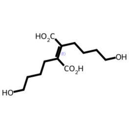 O=C(O)/C(CCCCO)=C(\CCCCO)C(=O)O